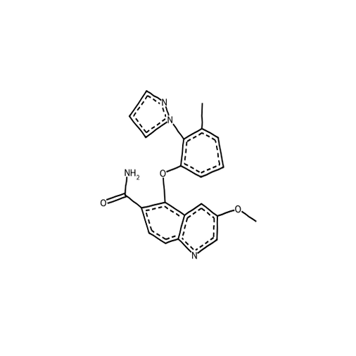 COc1cnc2ccc(C(N)=O)c(Oc3cccc(C)c3-n3cccn3)c2c1